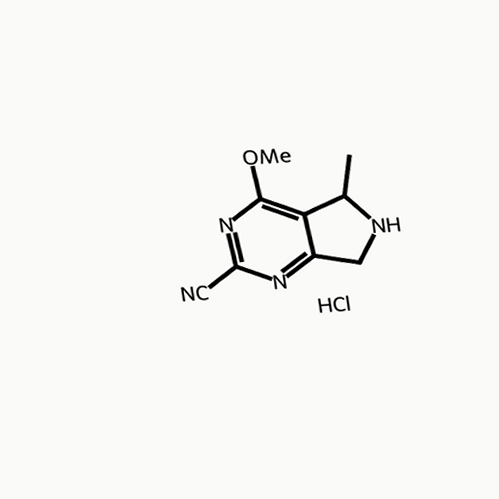 COc1nc(C#N)nc2c1C(C)NC2.Cl